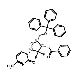 Nc1ccn([C@@H]2O[C@H](COC(c3ccccc3)(c3ccccc3)c3ccccc3)[C@H](OC(=O)c3ccccc3)C2(F)F)c(=O)n1